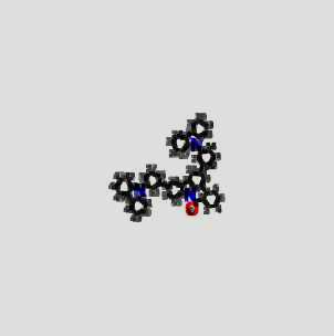 O=c1c2ccccc2c2cc(-c3cccc(-n4c5ccccc5c5ccccc54)c3)cc3c4cc(-c5cccc(-n6c7ccccc7c7ccccc76)c5)ccc4n1c23